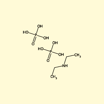 CCNCC.O=P(O)(O)O.O=P(O)(O)O